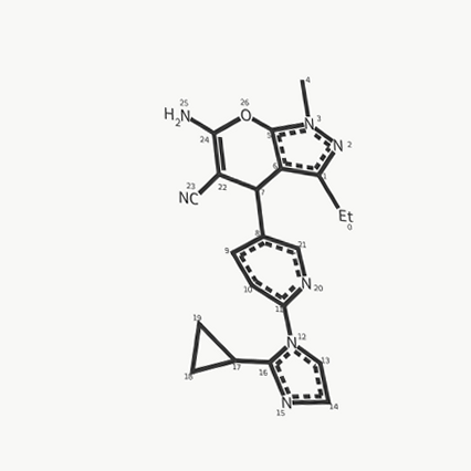 CCc1nn(C)c2c1C(c1ccc(-n3ccnc3C3CC3)nc1)C(C#N)=C(N)O2